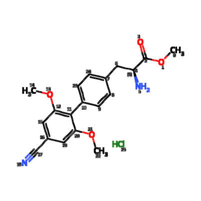 COC(=O)[C@@H](N)Cc1ccc(-c2c(OC)cc(C#N)cc2OC)cc1.Cl